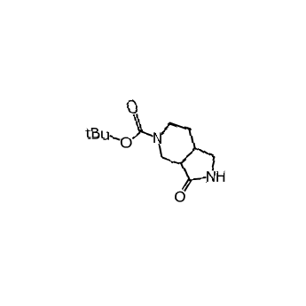 CC(C)(C)OC(=O)N1CCC2CNC(=O)C2C1